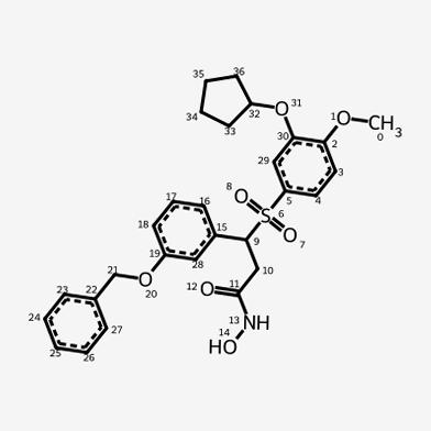 COc1ccc(S(=O)(=O)C(CC(=O)NO)c2cccc(OCc3ccccc3)c2)cc1OC1CCCC1